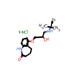 C#CC(C)(C)NCC(O)COc1cccc2c1CCCC(=O)N2.Cl